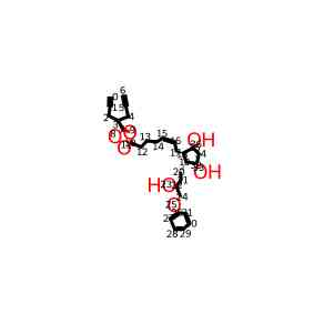 C#CCC(CC#C)C(=O)OC(=O)CCC/C=C\C[C@@H]1[C@@H](CC[C@@H](O)COc2ccccc2)[C@H](O)C[C@@H]1O